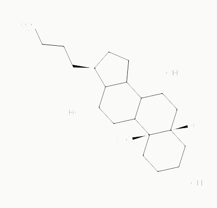 C[C@]12CC[C@@H](O)C[C@H]1C[C@@H](O)C1C3CC[C@H](CCCC(=O)O)C3[C@@H](O)CC12